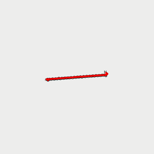 CCC(C)(C)CC(C)(C)C(=O)NCCOCCOCCOCCOCCOCCOCCOCCOCCOCCOCCOCCOCCOCCOCCOCCOCCOCCOCCOCCOCCOCCOCCOCCOCCOCCOCCOCCOCCOCCOCCOCCOCCOCCOCCOCCOCCC(=O)OC(C)(C)C